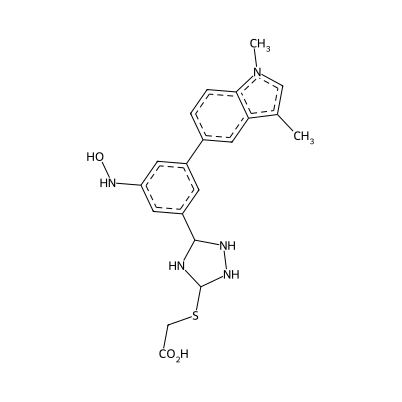 Cc1cn(C)c2ccc(-c3cc(NO)cc(C4NNC(SCC(=O)O)N4)c3)cc12